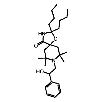 CCCCC1(CCCC)NC(=O)C2(CC(C)(C)N(CC(O)c3ccccc3)C(C)(C)C2)O1